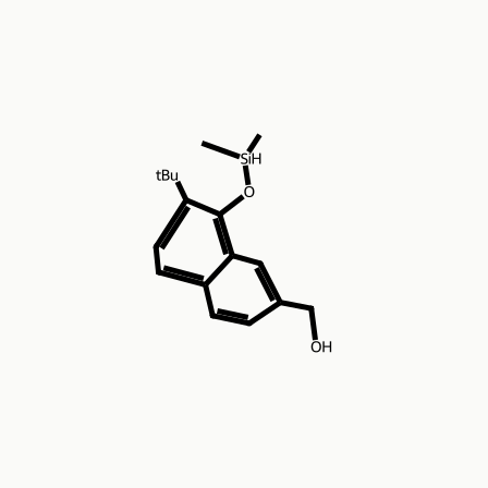 C[SiH](C)Oc1c(C(C)(C)C)ccc2ccc(CO)cc12